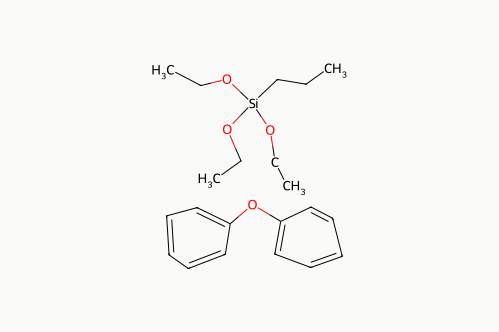 CCC[Si](OCC)(OCC)OCC.c1ccc(Oc2ccccc2)cc1